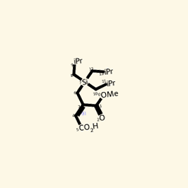 COC(=O)/C(=C\C(=O)O)C[Si](CC(C)C)(CC(C)C)CC(C)C